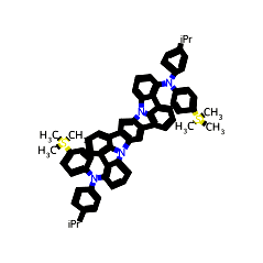 CC(C)c1ccc(N(c2ccc(S(C)(C)C)cc2)c2cccc3c2c2cccc4c5cc6c(cc5n3c42)c2cccc3c4c(N(c5ccc(C(C)C)cc5)c5ccc(S(C)(C)C)cc5)cccc4n6c23)cc1